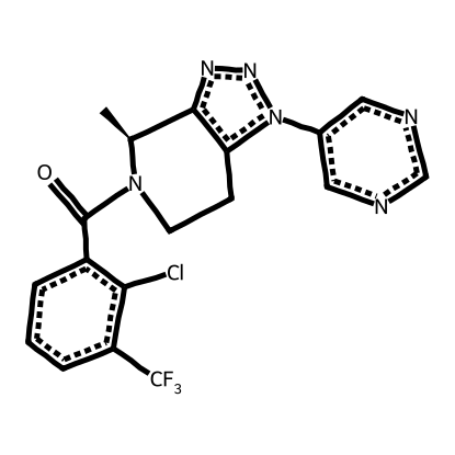 C[C@H]1c2nnn(-c3cncnc3)c2CCN1C(=O)c1cccc(C(F)(F)F)c1Cl